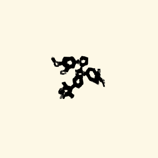 COc1ccc(N2CCC[C@H]2c2nc3cc(-c4c(C)noc4C)ccc3n2C2CCC(F)(F)CC2)cc1Cl